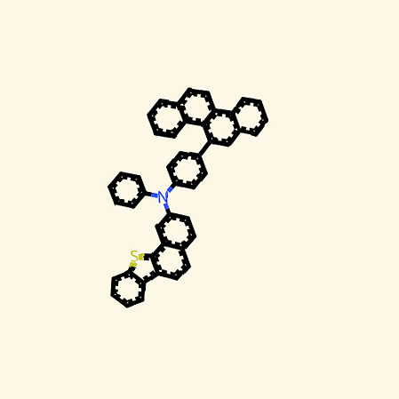 c1ccc(N(c2ccc(-c3cc4ccccc4c4ccc5ccccc5c34)cc2)c2ccc3ccc4c5ccccc5sc4c3c2)cc1